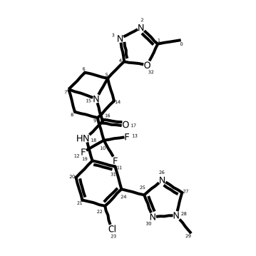 Cc1nnc(C23CC(CC(C(F)(F)F)C2)N3C(=O)Nc2ccc(Cl)c(-c3ncn(C)n3)c2)o1